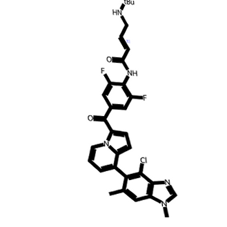 Cc1cc2c(ncn2C)c(Cl)c1-c1cccn2c(C(=O)c3cc(F)c(NC(=O)/C=C/CNC(C)(C)C)c(F)c3)ccc12